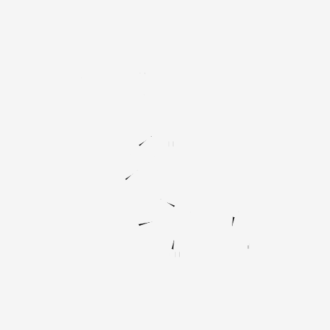 C=CC[C@@H]1C(=O)CC[C@]2(C)[C@H]3CC[C@]4(C)[C@@H]([C@H](C)/C=C/[C@@H](CC)C(C)C)CC[C@H]4[C@@H]3CC[C@@H]12